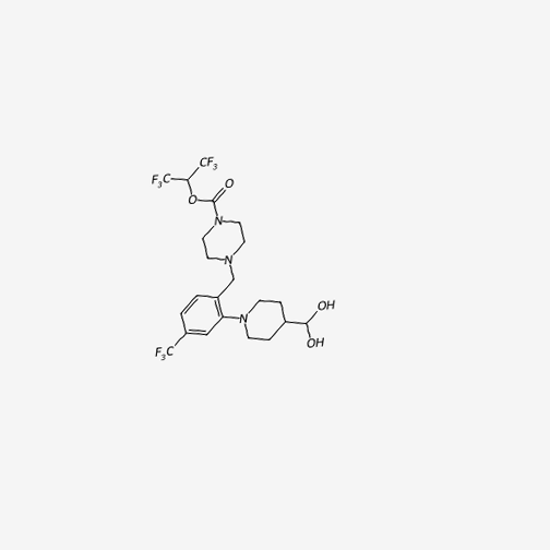 O=C(OC(C(F)(F)F)C(F)(F)F)N1CCN(Cc2ccc(C(F)(F)F)cc2N2CCC(C(O)O)CC2)CC1